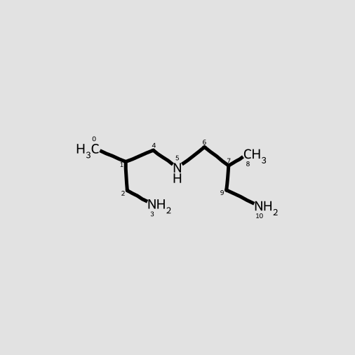 CC(CN)CNCC(C)CN